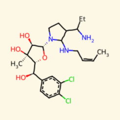 C/C=C\CNC1C(C(N)CC)CCN1[C@@H]1O[C@H]([C@H](O)c2ccc(Cl)c(Cl)c2)[C@@](C)(O)[C@H]1O